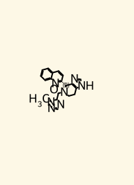 Cn1ncnc1C(=O)N1CCc2[nH]cnc2[C@H]1c1ccc2ccccc2n1